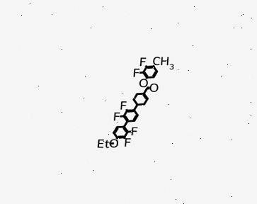 CCOc1ccc(-c2ccc(C3CC=C(C(=O)Oc4ccc(C)c(F)c4F)CC3)c(F)c2F)c(F)c1F